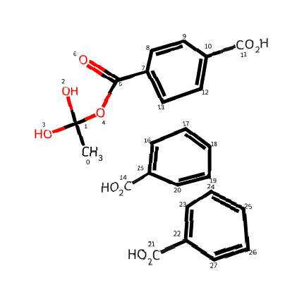 CC(O)(O)OC(=O)c1ccc(C(=O)O)cc1.O=C(O)c1ccccc1.O=C(O)c1ccccc1